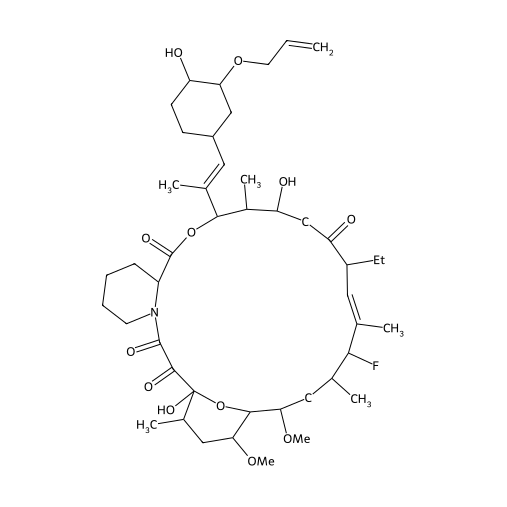 C=CCOC1CC(C=C(C)C2OC(=O)C3CCCCN3C(=O)C(=O)C3(O)OC(C(OC)CC(C)C(F)/C(C)=C/C(CC)C(=O)CC(O)C2C)C(OC)CC3C)CCC1O